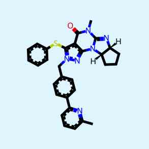 Cc1cccc(-c2ccc(Cn3nc4c(c3Sc3ccccc3)C(=O)N(C)C3=N[C@@H]5CCC[C@@H]5N34)cc2)n1